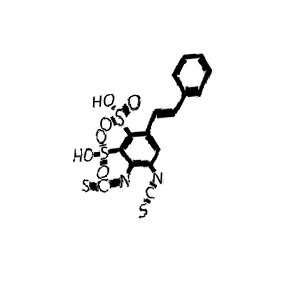 O=S(=O)(O)c1c(C=Cc2ccccc2)cc(N=C=S)c(N=C=S)c1S(=O)(=O)O